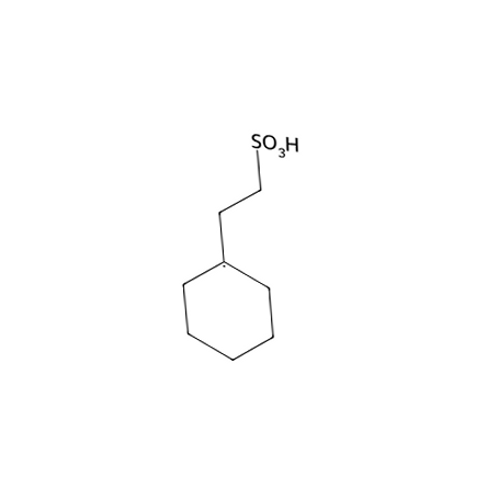 O=S(=O)(O)CC[C]1CCCCC1